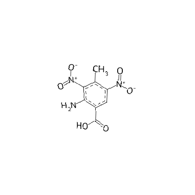 Cc1c([N+](=O)[O-])cc(C(=O)O)c(N)c1[N+](=O)[O-]